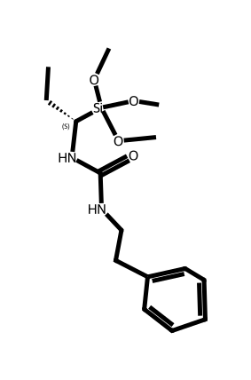 CC[C@@H](NC(=O)NCCc1ccccc1)[Si](OC)(OC)OC